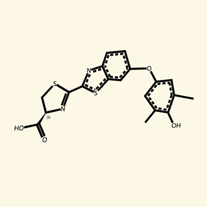 Cc1cc(Oc2ccc3nc(C4=N[C@@H](C(=O)O)CS4)sc3c2)cc(C)c1O